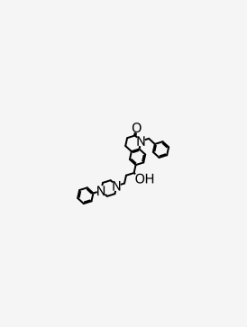 O=C1CCc2cc(C(O)CCN3CCN(c4ccccc4)CC3)ccc2N1Cc1ccccc1